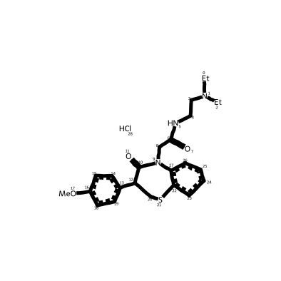 CCN(CC)CCNC(=O)CN1C(=O)C(c2ccc(OC)cc2)CSc2ccccc21.Cl